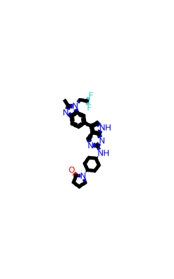 Cc1nc2ccc(-c3c[nH]c4nc(N[C@H]5CC[C@@H](N6CCCC6=O)CC5)ncc34)cc2n1CC(F)F